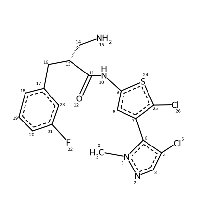 Cn1ncc(Cl)c1-c1cc(NC(=O)[C@@H](CN)Cc2cccc(F)c2)sc1Cl